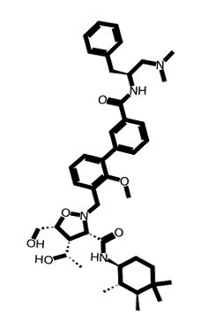 COc1c(CN2O[C@@H](CO)[C@@H]([C@H](C)O)[C@H]2C(=O)N[C@H]2CCC(C)(C)[C@@H](C)[C@@H]2C)cccc1-c1cccc(C(=O)N[C@@H](Cc2ccccc2)CN(C)C)c1